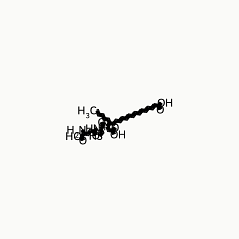 CCCCCCC(CCC=CC=CC=CC=CC=CC=CC(=O)O)N(CC(=O)O)C(=O)C(CS)NC(=O)CCC(N)C(=O)O